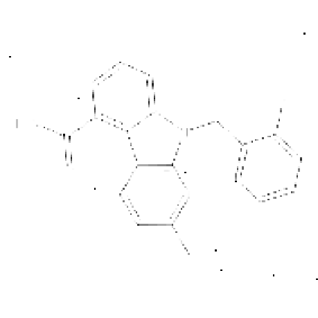 Cc1c[c]c2c3c(C(N)=O)cccc3n(Cc3ccccc3Br)c2c1